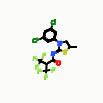 CC1CN(c2cc(Cl)cc(Cl)c2)C(=NC(=O)C(C(F)(F)F)C(F)(F)F)S1